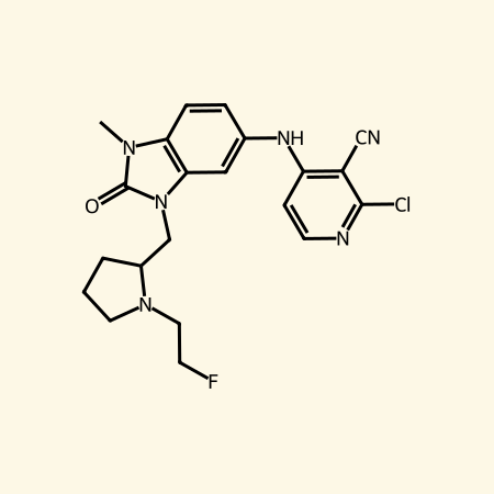 Cn1c(=O)n(CC2CCCN2CCF)c2cc(Nc3ccnc(Cl)c3C#N)ccc21